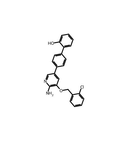 Nc1ncc(-c2ccc(-c3ccccc3O)cc2)cc1OCc1ccccc1Cl